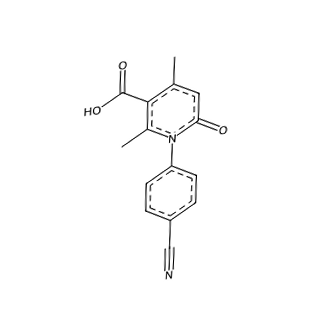 Cc1cc(=O)n(-c2ccc(C#N)cc2)c(C)c1C(=O)O